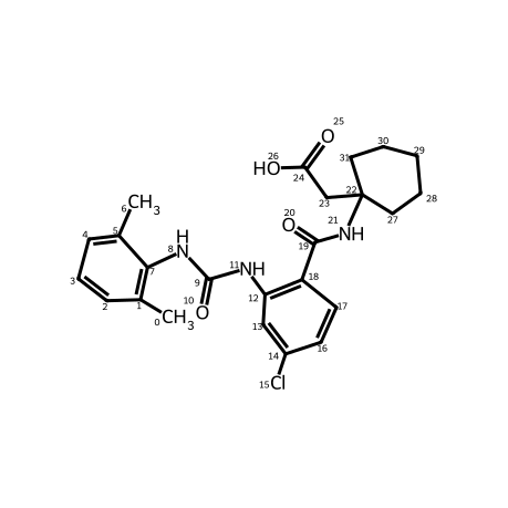 Cc1cccc(C)c1NC(=O)Nc1cc(Cl)ccc1C(=O)NC1(CC(=O)O)CCCCC1